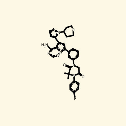 CC1(C)C(=O)N(c2cccc(-c3cc(-c4ccnn4C4CCOCC4)c4c(N)ncnn34)c2)CC(=O)N1c1ccc(F)cc1